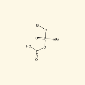 CCCCP(=O)(OCC)O[PH](=O)O